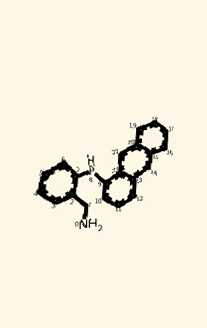 NCc1ccccc1Pc1cccc2cc3ccccc3cc12